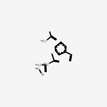 C=C(C)C(=O)O.C=C(C)C(=O)O.C=CC(=O)O.C=Cc1ccccc1.CCC[CH2][Zn]